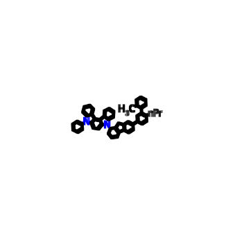 CCCc1ccc(-c2ccc3c(c2)CC2=C3C=CCC2n2c3ccccc3c3c4c5ccccc5n(-c5ccccc5)c4ccc32)cc1-c1ccccc1C